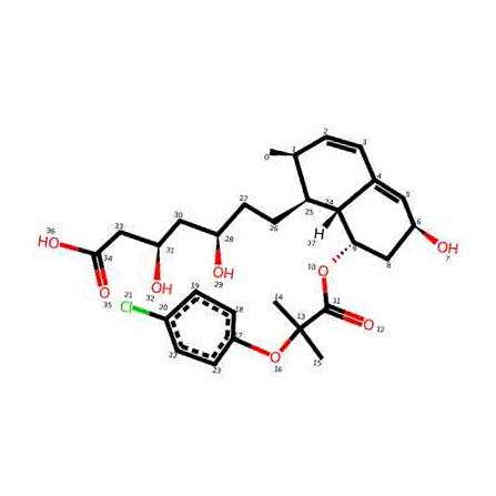 C[C@H]1C=CC2=C[C@@H](O)C[C@H](OC(=O)C(C)(C)Oc3ccc(Cl)cc3)[C@@H]2[C@H]1CC[C@@H](O)C[C@@H](O)CC(=O)O